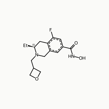 CC[C@H]1Cc2c(F)cc(C(=O)NO)cc2CN1CC1COC1